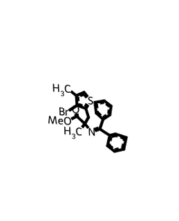 COC(=O)C(C)(Cc1scc(C)c1Br)N=C(c1ccccc1)c1ccccc1